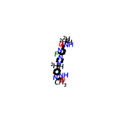 [2H]C([2H])([2H])NC(=O)c1ccc(N2CCN(C([2H])([2H])[C@H]3CCc4nc(C)c(=O)[nH]c4C3)CC2)c(F)n1